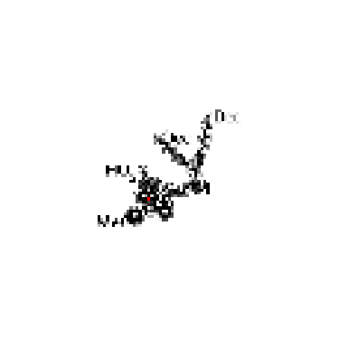 CCCCCCCCCCCCCCCCCCOCC(COC(=O)NCCCCCC(=O)N1CC(OC(=O)CCC(=O)O)CC1C(OC(c1ccc(OC)cc1)c1ccc(OC)cc1)c1ccccc1)OCCCCCCCCCCCCCCCCCC